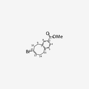 COC(=O)c1ccc2c(c1)CCC(Br)=CCC2